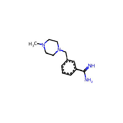 CN1CCN(Cc2cccc(C(=N)N)c2)CC1